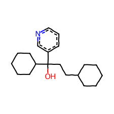 OC(CCC1CCCCC1)(c1cccnc1)C1CCCCC1